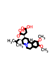 COc1cc2c(cc1OC)[C@H]1C[C@@H](C(CC(=O)O)C(=O)O)[C@@H](CC(C)C)CN1CC2